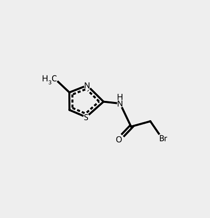 Cc1csc(NC(=O)CBr)n1